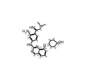 CN(C)CC(=N)c1ccc(Nc2ncc3cccc(O[C@H]4CC[C@@H](O)CC4)c3n2)cc1N